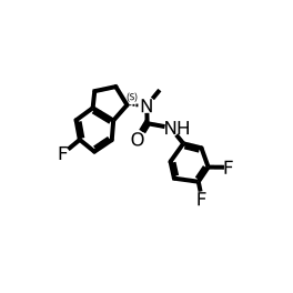 CN(C(=O)Nc1ccc(F)c(F)c1)[C@H]1CCc2cc(F)ccc21